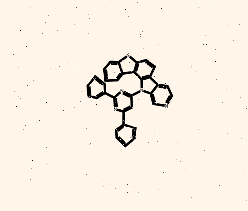 c1ccc(-c2cc(-n3c4cnccc4c4ccc5sc6ccccc6c5c43)nc(-c3ccccc3)n2)cc1